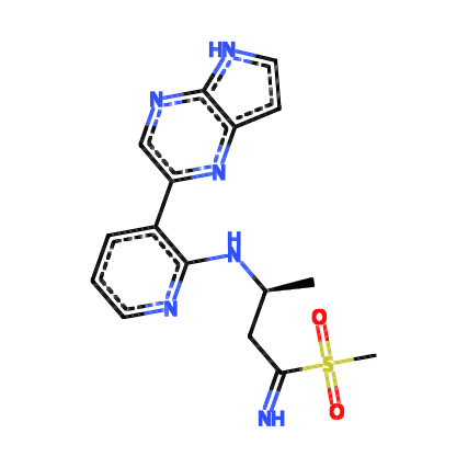 C[C@@H](CC(=N)S(C)(=O)=O)Nc1ncccc1-c1cnc2[nH]ccc2n1